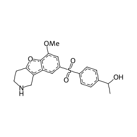 COc1cc(S(=O)(=O)c2ccc(C(C)O)cc2)cc2c3c(oc12)CCNC3